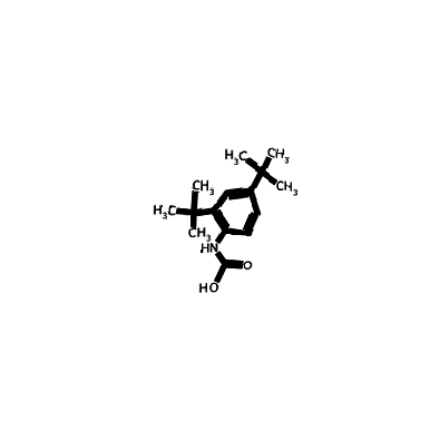 CC(C)(C)c1ccc(NC(=O)O)c(C(C)(C)C)c1